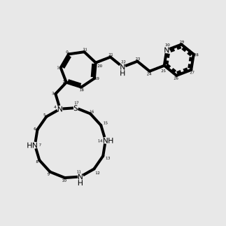 C1=CC(CN2CCNCCCNCCNCCS2)=CC=C(CNCCc2ccccn2)C1